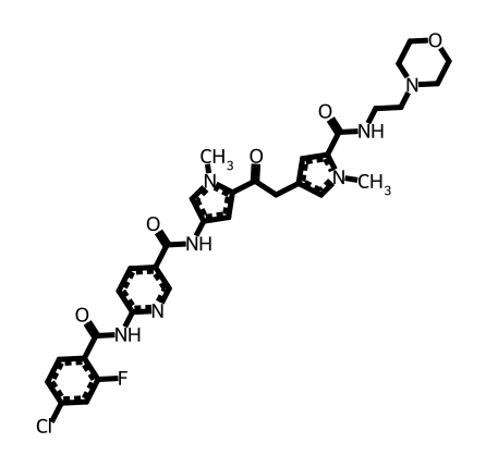 Cn1cc(NC(=O)c2ccc(NC(=O)c3ccc(Cl)cc3F)nc2)cc1C(=O)Cc1cc(C(=O)NCCN2CCOCC2)n(C)c1